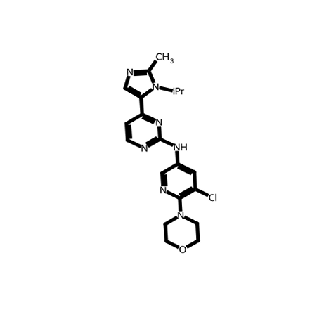 Cc1ncc(-c2ccnc(Nc3cnc(N4CCOCC4)c(Cl)c3)n2)n1C(C)C